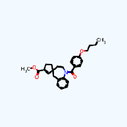 CCCCOc1ccc(C(=O)N2CCC3(C=C(C(=O)OC)CC3)Cc3ccccc32)cc1